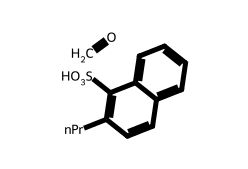 C=O.CCCc1ccc2ccccc2c1S(=O)(=O)O